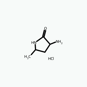 CC1CC(N)C(=O)N1.Cl